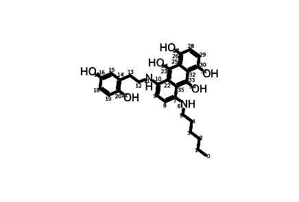 CCCCCCNc1ccc(NCCc2cc(O)ccc2O)c2c(O)c3c(O)ccc(O)c3c(O)c12